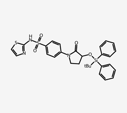 CC(C)(C)[Si](OC1CCN(c2ccc(S(=O)(=O)Nc3nccs3)cc2)C1=O)(c1ccccc1)c1ccccc1